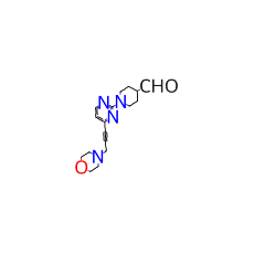 O=CC1CCN(c2nccc(C#CCN3CCOCC3)n2)CC1